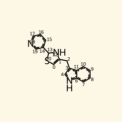 C1=C(Cc2c[nH]c3ccccc23)NC(c2cccnc2)S1